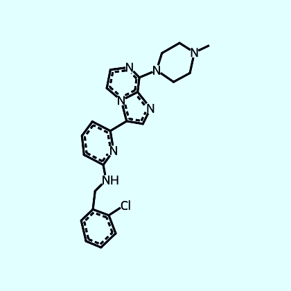 CN1CCN(c2nccn3c(-c4cccc(NCc5ccccc5Cl)n4)cnc23)CC1